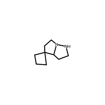 C1CC2(C1)CCN1NCCC12